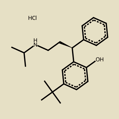 CC(C)NCC[C@@H](c1ccccc1)c1cc(C(C)(C)C)ccc1O.Cl